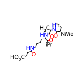 CN[C@@H](CC(C)C)C(=O)NC(C)C(=O)N[C@@H](CCCCNC(=O)CCC(=O)O)C(=O)C(C)C